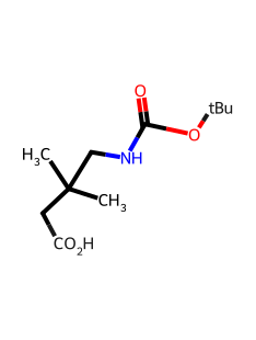 CC(C)(CNC(=O)OC(C)(C)C)CC(=O)O